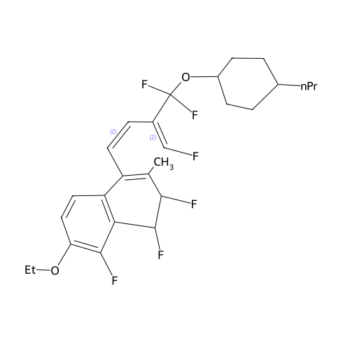 CCCC1CCC(OC(F)(F)C(/C=C\C2=C(C)C(F)C(F)c3c2ccc(OCC)c3F)=C\F)CC1